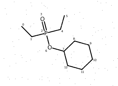 CCP(=O)(CC)OC1CCCCC1